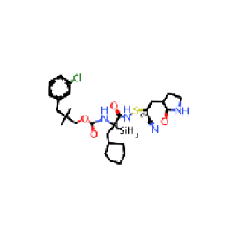 CC(C)(COC(=O)N[C@@]([SiH3])(CC1CCCCC1)C(=O)NS[C@H](C#N)CC1CCNC1=O)Cc1cccc(Cl)c1